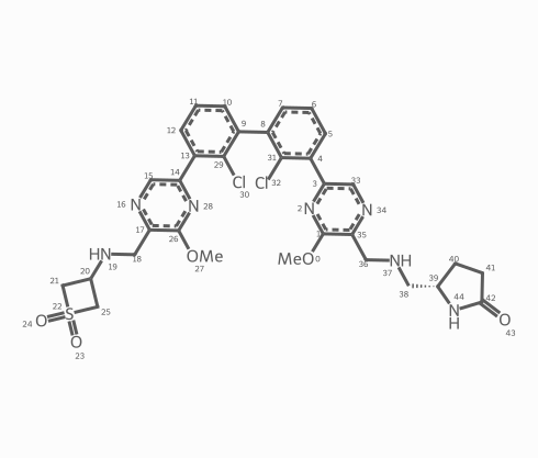 COc1nc(-c2cccc(-c3cccc(-c4cnc(CNC5CS(=O)(=O)C5)c(OC)n4)c3Cl)c2Cl)cnc1CNC[C@@H]1CCC(=O)N1